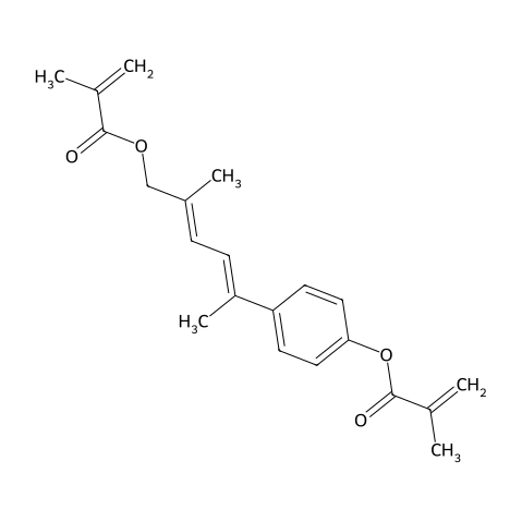 C=C(C)C(=O)OC/C(C)=C/C=C(\C)c1ccc(OC(=O)C(=C)C)cc1